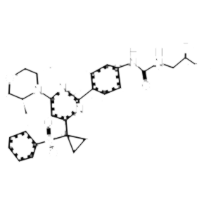 C[C@H]1COC[C@H](C)N1c1cc(C2(S(=O)(=O)c3ccccc3)CC2)nc(-c2ccc(NC(=O)NCC(F)F)cc2)n1